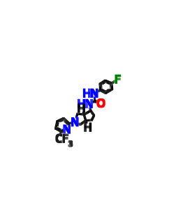 O=C(Nc1ccc(F)cc1)N[C@H]1CC[C@@H]2CN(c3cccc(C(F)(F)F)n3)C[C@@H]21